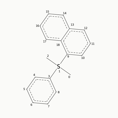 CS(C)(c1ccccc1)c1cccc2ccccc12